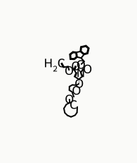 C=CCOC(=O)C1=C[C@@H](OC2CCCC(COC3CCCCCCCCC3)O2)CN1C(=O)OCC1c2ccccc2-c2ccccc21